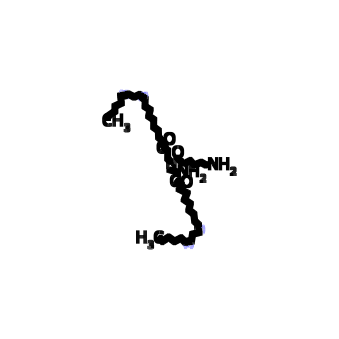 CCCCC/C=C\C/C=C\CCCCCCCC(=O)OCCN(CCOC(=O)CCCCCCC/C=C\C/C=C\CCCCC)C(=O)C(N)CCCCN